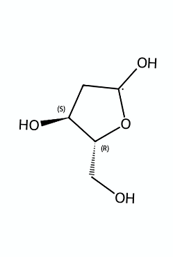 OC[C@H]1O[C](O)C[C@@H]1O